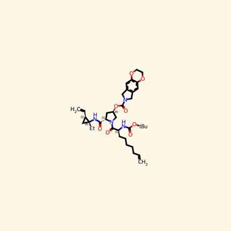 C=CCCCCC[C@H](NC(=O)OC(C)(C)C)C(=O)N1C[C@H](OC(=O)N2Cc3cc4c(cc3C2)OCCO4)C[C@H]1C(=O)N[C@]1(CC)C[C@H]1C=C